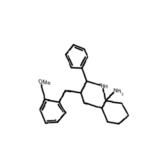 COc1ccccc1CC1CC2CCCCC2(N)NC1c1ccccc1